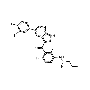 CCC[S+]([O-])Nc1ccc(F)c(C(=O)c2c[nH]c3ncc(-c4ccc(F)c(F)c4)cc23)c1F